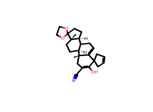 C[C@]12CC(C#N)=C(O)C3(CC=CC3)C1=CCC1[C@@H]2CC[C@@]2(C)[C@H]1CCC21OCCO1